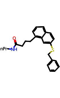 CCCNC(=O)CCCc1cccc2ccc(SCc3ccccc3)cc12